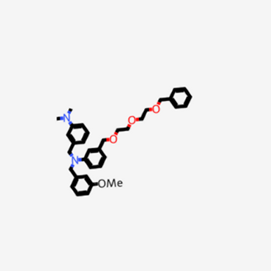 COc1cccc(CN(Cc2cccc(N(C)C)c2)c2cccc(COCCOCCOCc3ccccc3)c2)c1